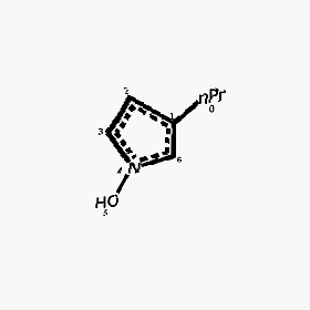 CCCc1ccn(O)c1